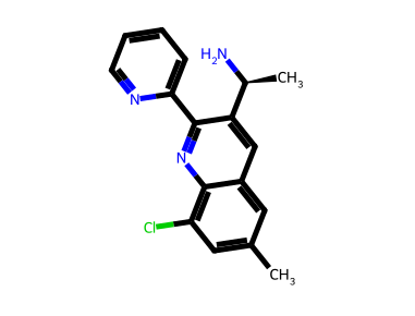 Cc1cc(Cl)c2nc(-c3ccccn3)c([C@H](C)N)cc2c1